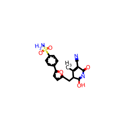 CC1=C(C#N)C(=O)N=C(O)C1Cc1ccc(-c2ccc(S(N)(=O)=O)cc2)o1